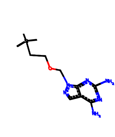 C[Si](C)(C)CCOCn1ncc2c(N)nc(N)nc21